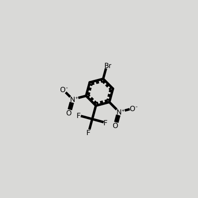 O=[N+]([O-])c1cc(Br)cc([N+](=O)[O-])c1C(F)(F)F